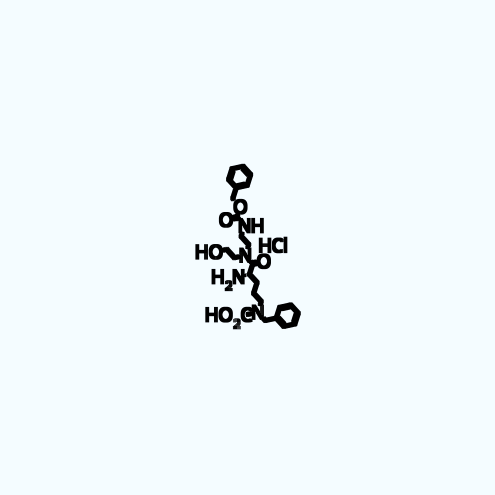 Cl.N[C@@H](CCCN(Cc1ccccc1)C(=O)O)C(=O)N(CCO)CCNC(=O)OCc1ccccc1